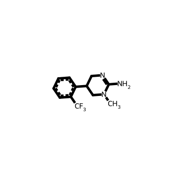 CN1CC(c2ccccc2C(F)(F)F)CN=C1N